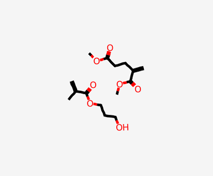 C=C(C)C(=O)OCCCO.C=C(CCC(=O)OC)C(=O)OC